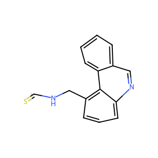 S=[C]NCc1cccc2ncc3ccccc3c12